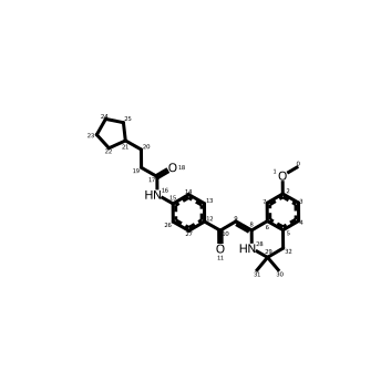 COc1ccc2c(c1)C(=CC(=O)c1ccc(NC(=O)CCC3CCCC3)cc1)NC(C)(C)C2